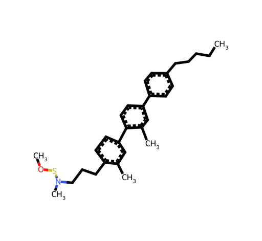 CCCCCc1ccc(-c2ccc(-c3ccc(CCCN(C)SOC)c(C)c3)c(C)c2)cc1